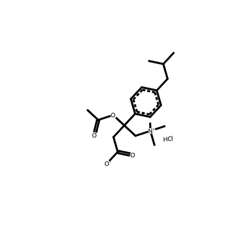 CC(=O)OC(CC(=O)[O-])(C[N+](C)(C)C)c1ccc(CC(C)C)cc1.Cl